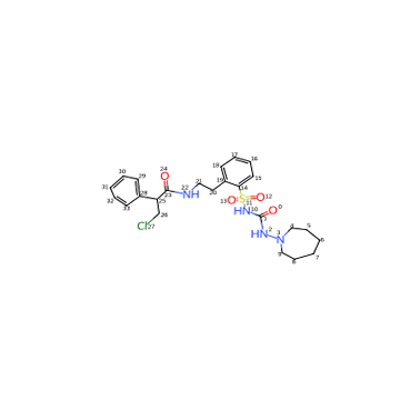 O=C(NN1CCCCCC1)NS(=O)(=O)c1ccccc1CCNC(=O)C(CCl)c1ccccc1